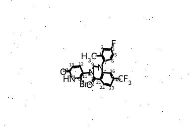 Cc1cc(F)ccc1N1CN(c2ccc(=O)[nH]c2Br)C(=O)c2ccc(C(F)(F)F)cc21